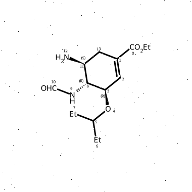 CCOC(=O)C1=C[C@@H](OC(CC)CC)[C@H](NC=O)[C@@H](N)C1